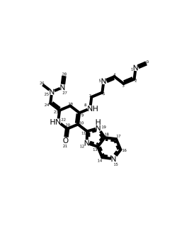 C=N/C=C\C=N/CCNC1=C(c2nc3cnccc3[nH]2)C(=O)N/C(=C/N(C)N=C)C1